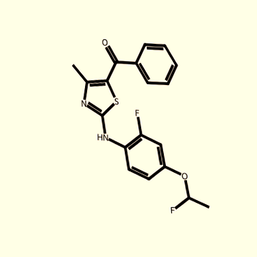 Cc1nc(Nc2ccc(OC(C)F)cc2F)sc1C(=O)c1ccccc1